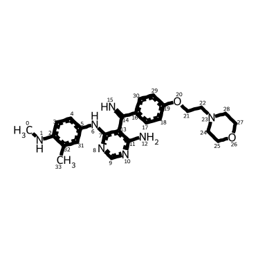 CNc1ccc(Nc2ncnc(N)c2C(=N)c2ccc(OCCN3CCOCC3)cc2)cc1C